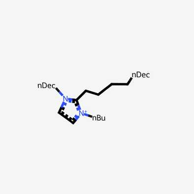 CCCCCCCCCCCCCCc1n(CCCCCCCCCC)cc[n+]1CCCC